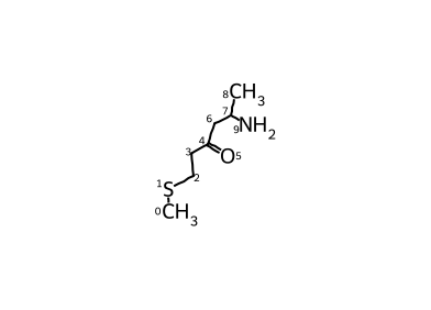 CSCCC(=O)CC(C)N